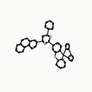 c1ccc(-c2cc(-c3ccc4c(ccc5ccccc54)c3)nc(-c3ccc4c(c3)Oc3ccccc3C43c4ccccc4-c4ccccc43)n2)cc1